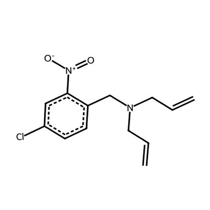 C=CCN(CC=C)Cc1ccc(Cl)cc1[N+](=O)[O-]